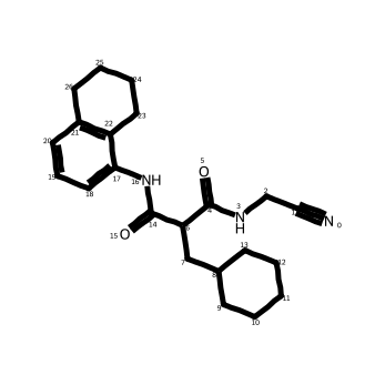 N#CCNC(=O)C(CC1CCCCC1)C(=O)Nc1cccc2c1CCCC2